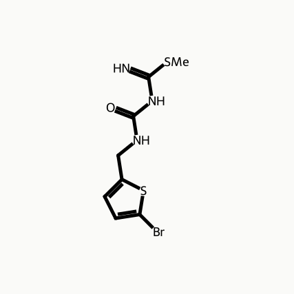 CSC(=N)NC(=O)NCc1ccc(Br)s1